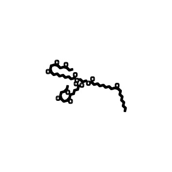 CCCCCCCCC1OC1CCCCCCCC(=O)OCC(COC(=O)CCCCCCCC1OC1CC1OC1CC1OC1CC)OC(=O)CCCCC1OC1CC1OC1CC1OC1C